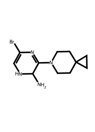 NC1NC=C(Br)N=C1N1CCC2(CC1)CC2